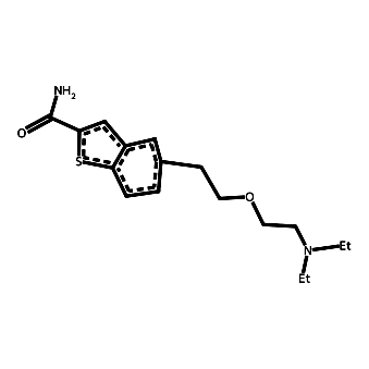 CCN(CC)CCOCCc1ccc2sc(C(N)=O)cc2c1